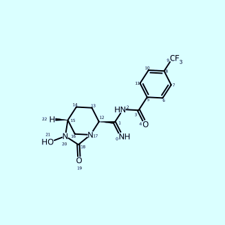 N=C(NC(=O)c1ccc(C(F)(F)F)cc1)[C@@H]1CC[C@@H]2CN1C(=O)N2O